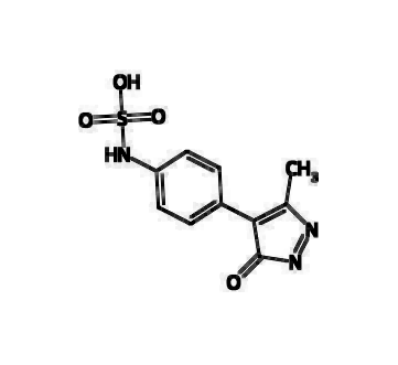 CC1=C(c2ccc(NS(=O)(=O)O)cc2)C(=O)N=N1